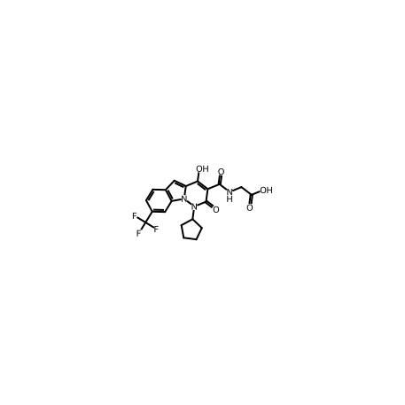 O=C(O)CNC(=O)c1c(O)c2cc3ccc(C(F)(F)F)cc3n2n(C2CCCC2)c1=O